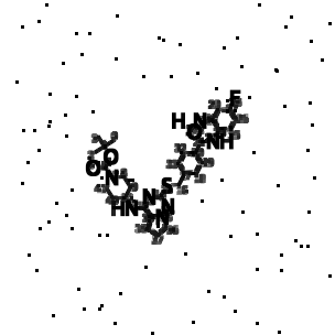 CC(C)(C)OC(=O)N1CCC(Nc2nc(SCc3ccc(C(=O)Nc4ccc(F)cc4N)cc3)nn3cccc23)CC1